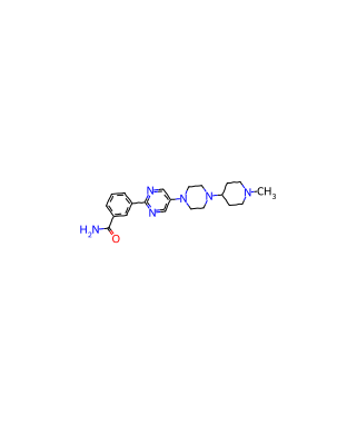 CN1CCC(N2CCN(c3cnc(-c4cccc(C(N)=O)c4)nc3)CC2)CC1